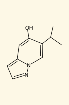 CC(C)c1cn2nccc2cc1O